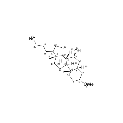 CO[C@@H]1CC[C@@]2(C)[C@@H](C1)C[C@H](O)[C@@H]1[C@@H]2CC[C@]2(C)[C@@H](CCCC#N)CC[C@@H]12